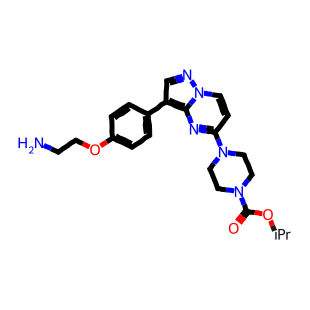 CC(C)OC(=O)N1CCN(c2ccn3ncc(-c4ccc(OCCN)cc4)c3n2)CC1